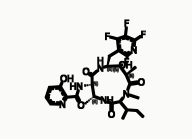 CCC(C)C1C(=O)N[C@H](C)[C@H](NC(=O)c2ncccc2O)C(=O)N[C@@H](Cc2c(F)nc(F)c(F)c2F)[C@@H](O)[C@@H](C)C(=O)N1C